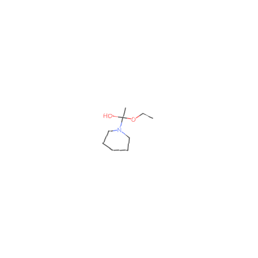 CCOC(C)(O)N1CCCCC1